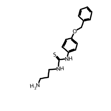 NCCCNC(=S)Nc1ccc(OCc2ccccc2)cc1